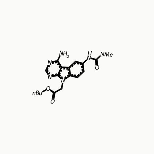 CCCCOC(=O)Cn1c2ccc(NC(=O)NC)cc2c2c(N)ncnc21